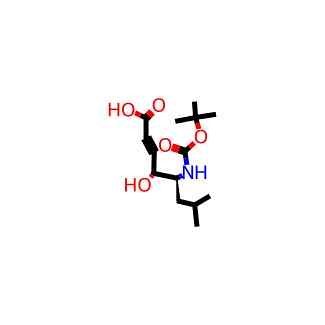 CC(C)C[C@H](NC(=O)OC(C)(C)C)C(O)C#CC(=O)O